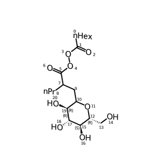 CCCCCCC(=O)OOC(=O)C(CCC)CC1O[C@H](CO)[C@@H](O)[C@H](O)[C@H]1O